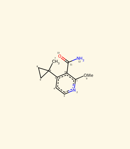 COc1nccc(C2(C)CC2)c1C(N)=O